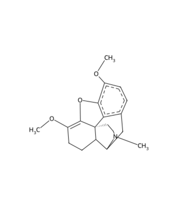 COC1=C2Oc3c(OC)ccc4c3[C@]23CCN(C)C(C4)C3CC1